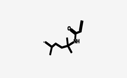 [CH2]C(C)CCC(C)(C)NC(=O)C=C